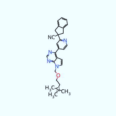 C[Si](C)(C)CCOCn1ccc2c(-c3ccnc(C4(C#N)Cc5ccccc5C4)c3)ncnc21